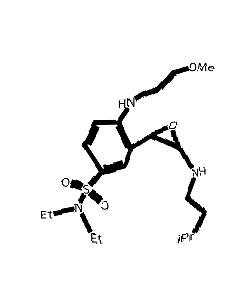 CCN(CC)S(=O)(=O)c1ccc(NCCOC)c(C2OC2NCCC(C)C)c1